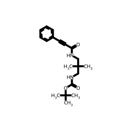 CC(C)(CNC(=O)C#Cc1ccccc1)CNC(=O)OC(C)(C)C